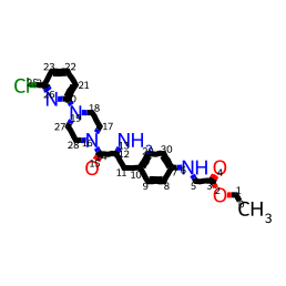 CCOC(=O)CNc1ccc(CC(N)C(=O)N2CCN(c3cccc(Cl)n3)CC2)cc1